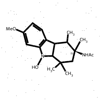 COc1ccc2c(c1)N(O)C1C2C(C)[C@@](C)(NC(C)=O)CC1(C)C